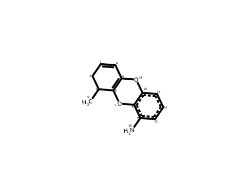 CC1CC=CC2=C1Oc1c(N)cccc1O2